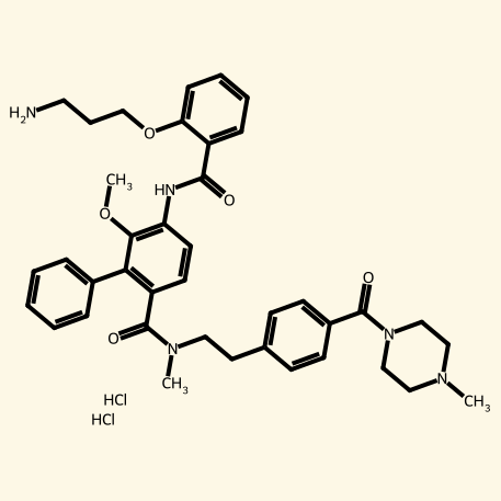 COc1c(NC(=O)c2ccccc2OCCCN)ccc(C(=O)N(C)CCc2ccc(C(=O)N3CCN(C)CC3)cc2)c1-c1ccccc1.Cl.Cl